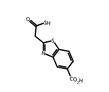 O=C(S)Cc1nc2cc(C(=O)O)ccc2s1